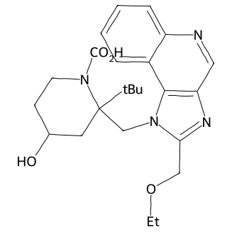 CCOCc1nc2cnc3ccccc3c2n1CC1(C(C)(C)C)CC(O)CCN1C(=O)O